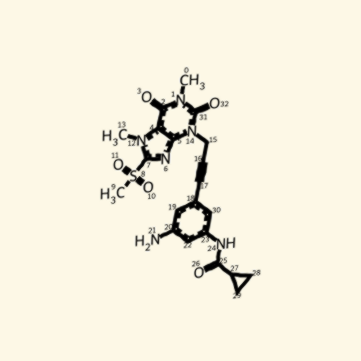 Cn1c(=O)c2c(nc(S(C)(=O)=O)n2C)n(CC#Cc2cc(N)cc(NC(=O)C3CC3)c2)c1=O